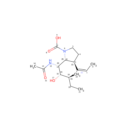 C/C=C\[C@@H]1CCN(C(=O)O)[C@H]1[C@@H](NC(C)=O)[C@@H](O)[C@@H](C)CC